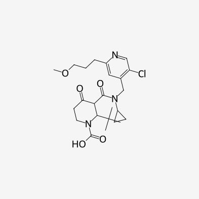 COCCCc1cc(CN(C(=O)C2C(=O)CCN(C(=O)O)C2C(C)(C)C)C2CC2)c(Cl)cn1